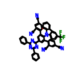 N#Cc1ccc(-c2cc(-c3nc(-c4ccccc4)nc(-c4ccccc4)n3)cc(-c3ccc(C#N)cc3C#N)c2-n2c3ccccc3c3cc(C(F)(F)F)ccc32)c(C#N)c1